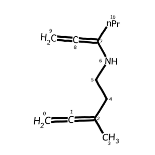 C=C=C(C)CCNC(=C=C)CCC